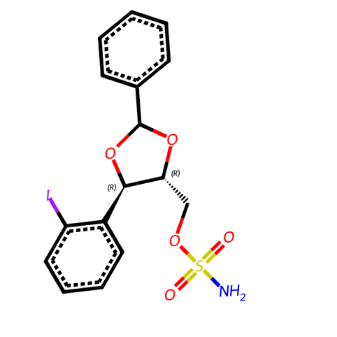 NS(=O)(=O)OC[C@H]1OC(c2ccccc2)O[C@@H]1c1ccccc1I